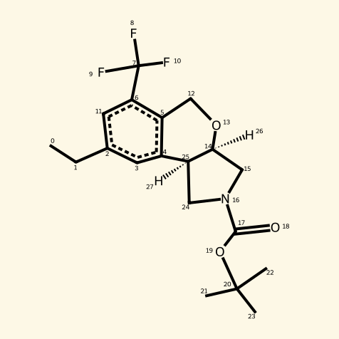 CCc1cc2c(c(C(F)(F)F)c1)CO[C@H]1CN(C(=O)OC(C)(C)C)C[C@@H]21